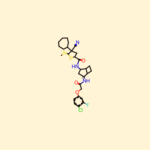 CSC1SC(C(=O)NC2C[C@H](NC(=O)COc3ccc(Cl)c(F)c3)C3CCC23)CC1(C#N)C1CCCCCC1